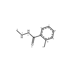 CNNC(=O)c1ccccc1C